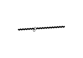 CCCCCCCCCCCCCCCCCCCCCCCCOC(=O)CCCCCCCCCCCCC